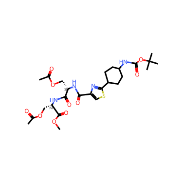 COC(=O)[C@H](COC(C)=O)NC(=O)[C@H](COC(C)=O)NC(=O)c1csc(C2CCC(NC(=O)OC(C)(C)C)CC2)n1